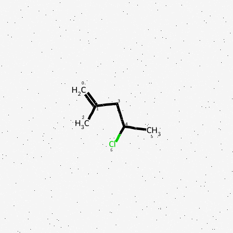 C=C(C)CC(C)Cl